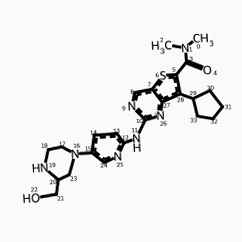 CN(C)C(=O)c1sc2cnc(Nc3ccc(N4CCNC(CO)C4)cn3)nc2c1C1CCCC1